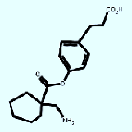 NCC1(C(=O)Oc2ccc(CCC(=O)O)cc2)CCCCC1